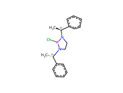 C[C@@H](c1ccccc1)N1CCN([C@@H](C)c2ccccc2)P1Cl